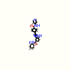 O=C(Nc1ccncc1)c1ccc(-c2nc3cc(C(=O)NC4CCCCCC4)ccc3[nH]2)cc1